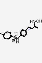 C=C(/C=C/c1ccc(NS(=O)(=O)c2ccc(C)cc2)cc1)NO